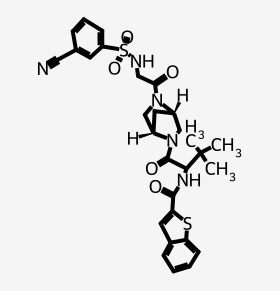 CC(C)(C)C(NC(=O)c1cc2ccccc2s1)C(=O)N1C[C@@H]2C[C@H]1CN2C(=O)CNS(=O)(=O)c1cccc(C#N)c1